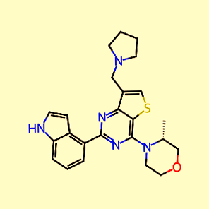 C[C@@H]1COCCN1c1nc(-c2cccc3[nH]ccc23)nc2c(CN3CCCC3)csc12